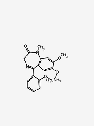 COc1cc2c(cc1OC)N(C)C(=O)CN=C2c1ccccc1OC